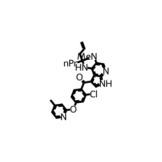 C=CCC(C)(CCC)Nc1c(NC)cnc2[nH]cc(C(=O)c3ccc(Oc4cc(C)ccn4)cc3Cl)c12